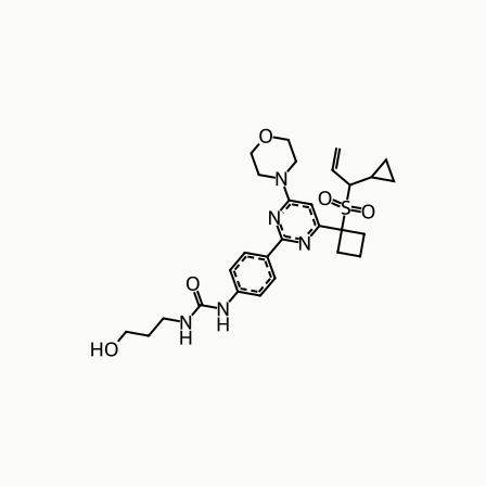 C=CC(C1CC1)S(=O)(=O)C1(c2cc(N3CCOCC3)nc(-c3ccc(NC(=O)NCCCO)cc3)n2)CCC1